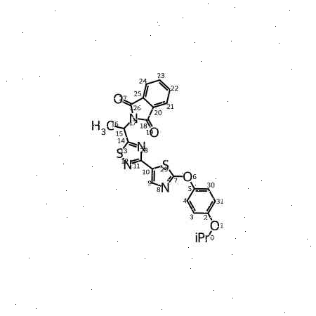 CC(C)Oc1ccc(Oc2ncc(-c3nsc(C(C)N4C(=O)c5ccccc5C4=O)n3)s2)cc1